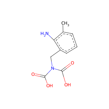 Cc1cccc(CN(C(=O)O)C(=O)O)c1N